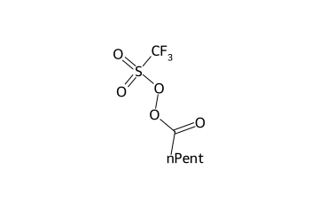 CCCCCC(=O)OOS(=O)(=O)C(F)(F)F